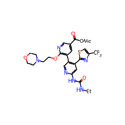 CCNC(=O)Nc1cc(-c2nc(C(F)(F)F)cs2)c(-c2cc(C(=O)OC)cnc2OCCN2CCOCC2)cn1